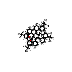 CC(C)(C)c1ccc2c(c1)c1cc(C(C)(C)C)ccc1n2-c1c(-c2ccccc2F)c(C2CCCCC2)c(-n2c3ccc(C(C)(C)C)cc3c3cc(C(C)(C)C)ccc32)c(C2CCCCC2)c1-c1ccccc1F